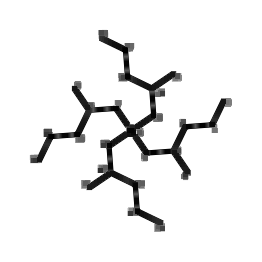 CCCC(C)C[B-](CC(C)CCC)(CC(C)CCC)CC(C)CCC